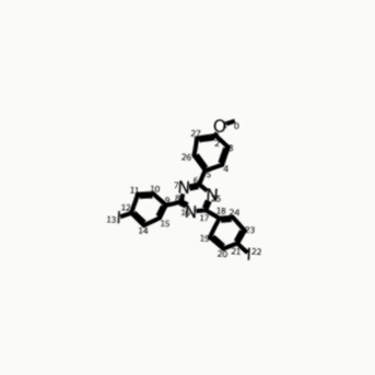 COc1ccc(-c2nc(-c3ccc(I)cc3)nc(-c3ccc(I)cc3)n2)cc1